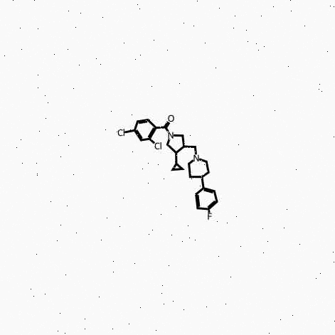 O=C(c1ccc(Cl)cc1Cl)N1CC(CN2CCC(c3ccc(F)cc3)CC2)C(C2CC2)C1